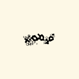 Cc1ccc(NC(=O)C2(c3ccc4c(c3)OCO4)CC2)cc1-c1ccc(S(=O)(=O)NC(C)(CO)CO)c(C(F)(F)F)c1